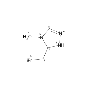 CC(C)CC1NN=CN1C